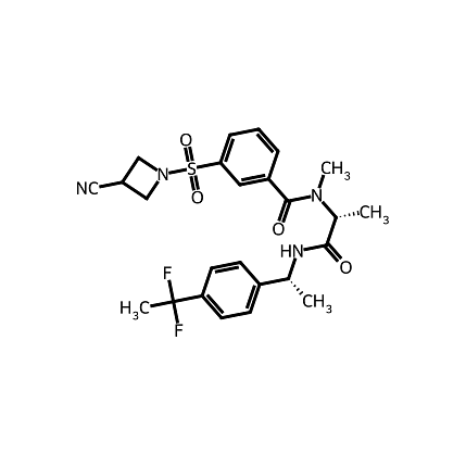 C[C@H](C(=O)N[C@H](C)c1ccc(C(C)(F)F)cc1)N(C)C(=O)c1cccc(S(=O)(=O)N2CC(C#N)C2)c1